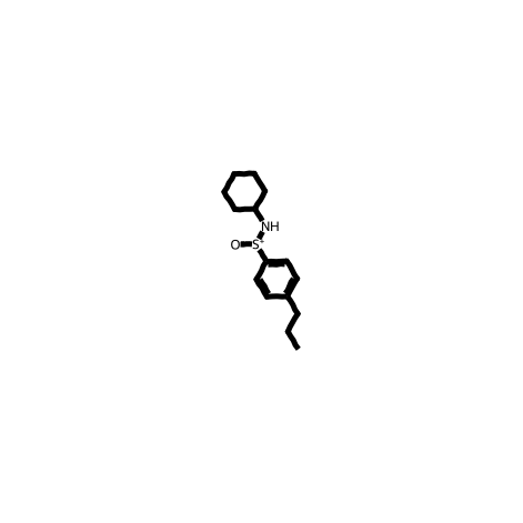 CCCc1ccc([S+]([O-])NC2CCCCC2)cc1